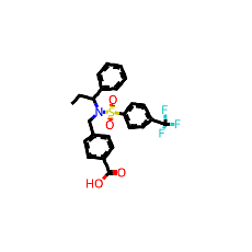 CCC(c1ccccc1)N(Cc1ccc(C(=O)O)cc1)S(=O)(=O)c1ccc(C(F)(F)F)cc1